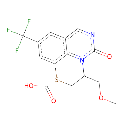 COCC1CSc2cc(C(F)(F)F)cc3cnc(=O)n1c23.O=CO